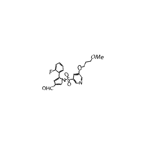 COCCCOc1cncc(S(=O)(=O)n2cc(C=O)cc2-c2ccccc2F)c1